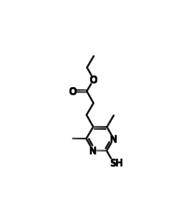 CCOC(=O)CCc1c(C)nc(S)nc1C